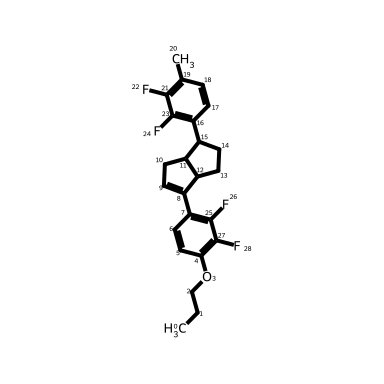 CCCOc1ccc(C2=CCC3C2CCC3c2ccc(C)c(F)c2F)c(F)c1F